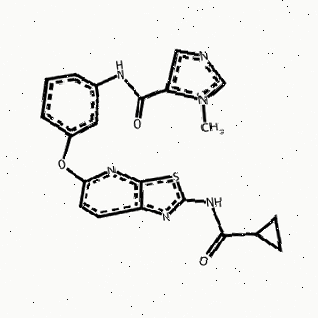 Cn1cncc1C(=O)Nc1cccc(Oc2ccc3nc(NC(=O)C4CC4)sc3n2)c1